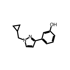 Oc1cccc(-c2ccn(CC3CC3)n2)c1